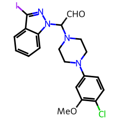 COc1cc(N2CCN(C(C=O)n3nc(I)c4ccccc43)CC2)ccc1Cl